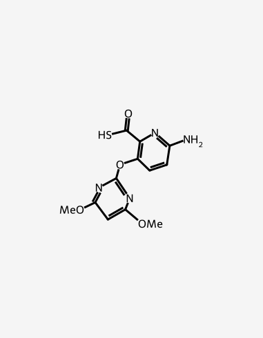 COc1cc(OC)nc(Oc2ccc(N)nc2C(=O)S)n1